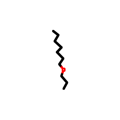 CCCCCCCOCCC